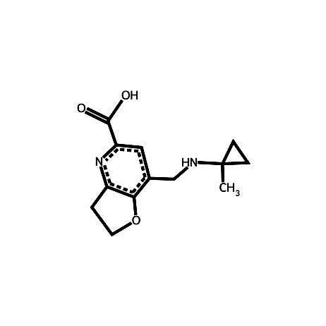 CC1(NCc2cc(C(=O)O)nc3c2OCC3)CC1